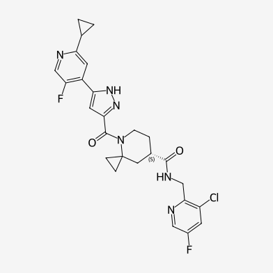 O=C(NCc1ncc(F)cc1Cl)[C@H]1CCN(C(=O)c2cc(-c3cc(C4CC4)ncc3F)[nH]n2)C2(CC2)C1